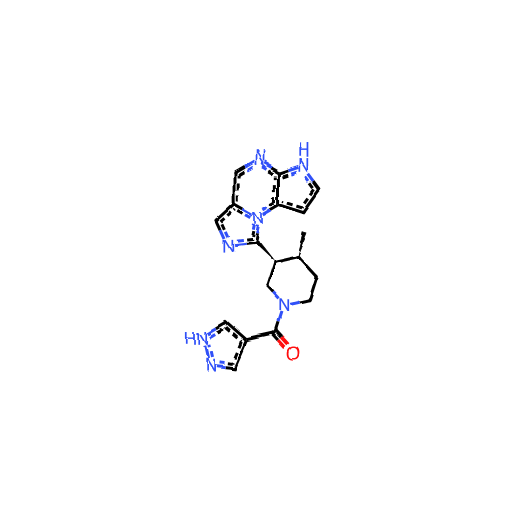 C[C@H]1CCN(C(=O)c2cn[nH]c2)C[C@H]1c1ncc2cnc3[nH]ccc3n12